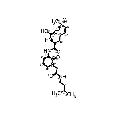 CC(C)CCNC(=O)Cn1cccc(NC(=O)C(CC/C=C\S(C)(=O)=O)NC(=O)O)c1=O